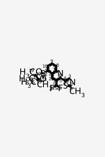 Cc1ncc(-c2nc3cccc(B4OC(C)(C)C(C)(C)O4)c3cc2C(F)F)s1